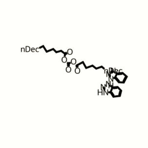 CCCCCCCCCCCCCCCC(=O)OC(=O)OC(=O)CCCCCCCCCCCCCCC.c1ccc2[nH]nnc2c1.c1ccc2[nH]nnc2c1